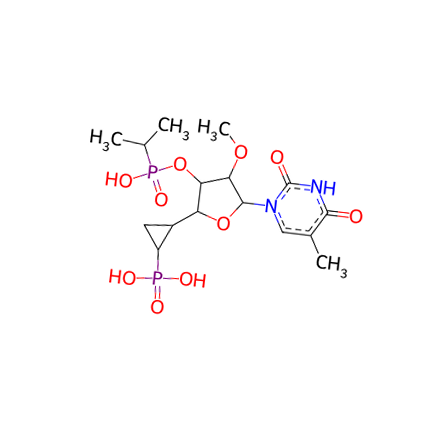 COC1C(OP(=O)(O)C(C)C)C(C2CC2P(=O)(O)O)OC1n1cc(C)c(=O)[nH]c1=O